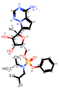 CCC(CC)CN([C@@H](C)C(=O)O)P(=O)(OC[C@H]1O[C@@](C#N)(c2ccc3c(N)ncnn23)[C@H](O)[C@@H]1O)Oc1ccccc1